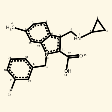 Cc1ccc2c(CNC3CC3)c(C(=O)O)n(Cc3cccc(F)c3)c2c1